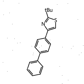 CC(C)(C)c1nc(-c2ccc(-c3ccccc3)cc2)cs1